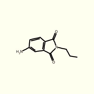 CCCN1C(=O)c2ccc(N)cc2C1=O